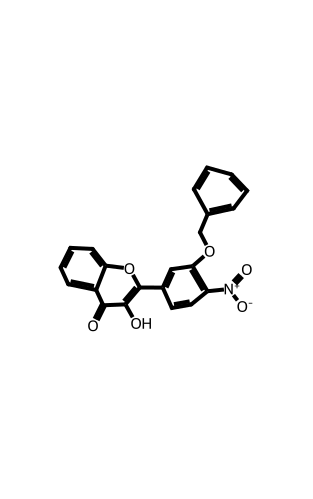 O=c1c(O)c(-c2ccc([N+](=O)[O-])c(OCc3ccccc3)c2)oc2ccccc12